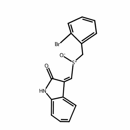 O=C1Nc2ccccc2C1=C[S+]([O-])Cc1ccccc1Br